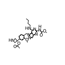 CCCCNc1nc(NC(=O)OC)nc2cnn(Cc3ccc(C4(OC(C)=O)CNC4)cc3OC)c12